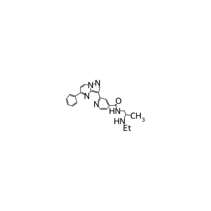 CCNC(C)CNC(=O)c1ccnc(-c2cnn3ccc(-c4ccccc4)nc23)c1